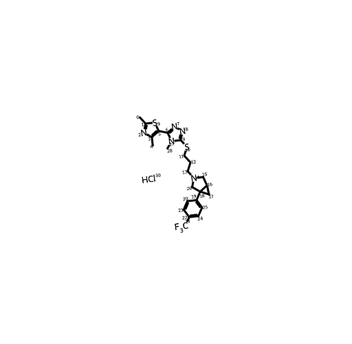 Cc1nc(C)c(-c2nnc(SCCCN3CC4CC4(c4ccc(C(F)(F)F)cc4)C3)n2C)s1.Cl